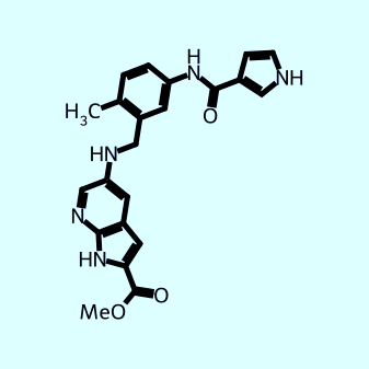 COC(=O)c1cc2cc(NCc3cc(NC(=O)c4cc[nH]c4)ccc3C)cnc2[nH]1